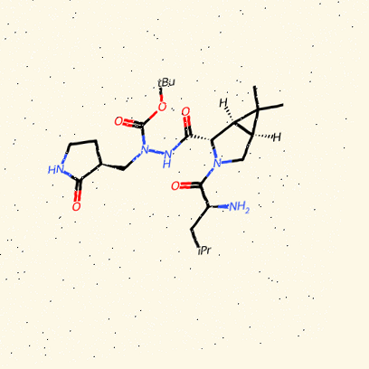 CC(C)C[C@H](N)C(=O)N1C[C@H]2[C@@H]([C@H]1C(=O)NN(C[C@@H]1CCNC1=O)C(=O)OC(C)(C)C)C2(C)C